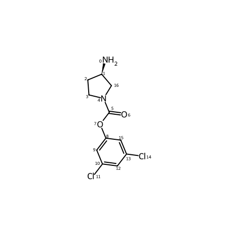 N[C@@H]1CCN(C(=O)Oc2cc(Cl)cc(Cl)c2)C1